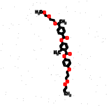 C=CCOOCCCOc1ccc(OC(=O)c2ccc(OC(=O)c3ccc(C(=C)OCCOCOC)cc3)cc2C)cc1